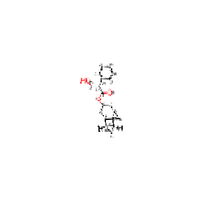 O=C(OC1CC2CC23C(C1)[C@H]1C[C@H]13)[C@H](CO)c1ccccc1